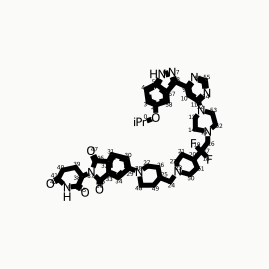 CC(C)Oc1ccc2[nH]nc(-c3cc(N4CCN(CC(F)(F)C5CCN(CC6CCN(c7ccc8c(c7)C(=O)N(C7CCC(=O)NC7=O)C8=O)CC6)CC5)CC4)ncn3)c2c1